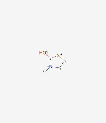 CN1CCS[C@H]1O